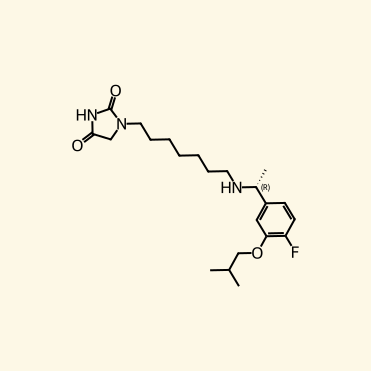 CC(C)COc1cc([C@@H](C)NCCCCCCCN2CC(=O)NC2=O)ccc1F